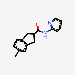 Cc1ccc2c(c1)CC(C(=O)Nc1ccccn1)C2